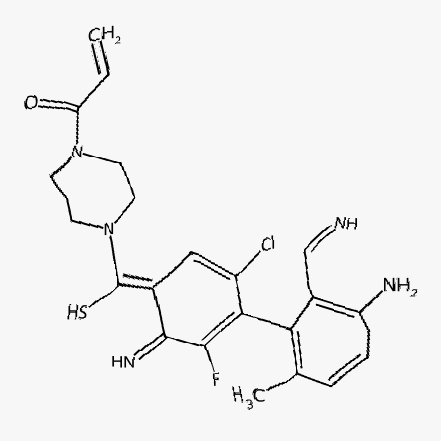 C=CC(=O)N1CCN(/C(S)=C2\C=C(Cl)C(c3c(C)ccc(N)c3C=N)=C(F)C2=N)CC1